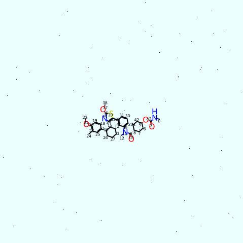 CNC(=O)O[C@H]1CC[C@H](C(=O)N(C[C@H]2CC[C@H](c3ccc(OC)c(C)c3)CC2)c2cccc(-c3cnc(OC)s3)c2)CC1